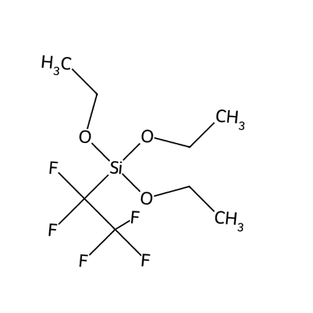 CCO[Si](OCC)(OCC)C(F)(F)C(F)(F)F